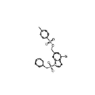 Cc1ccc(S(=O)(=O)OCc2cc(Br)c3ccn(S(=O)(=O)Cc4ccccc4)c3c2)cc1